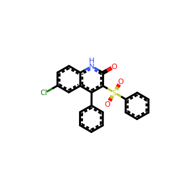 O=c1[nH]c2ccc(Cl)cc2c(-c2ccccc2)c1S(=O)(=O)c1ccccc1